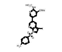 COc1cc(-c2cnc3c(c2)c(I)cn3S(=O)(=O)c2ccc(C)cc2)cnc1NC(=O)O